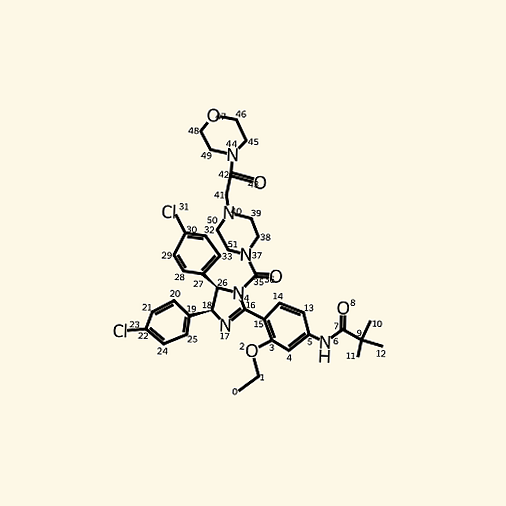 CCOc1cc(NC(=O)C(C)(C)C)ccc1C1=N[C@@H](c2ccc(Cl)cc2)[C@@H](c2ccc(Cl)cc2)N1C(=O)N1CCN(CC(=O)N2CCOCC2)CC1